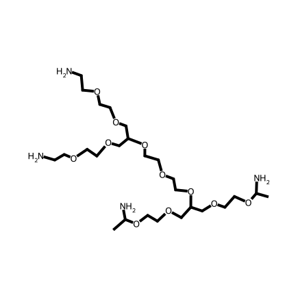 CC(N)OCCOCC(COCCOC(C)N)OCCOCCOC(COCCOCCN)COCCOCCN